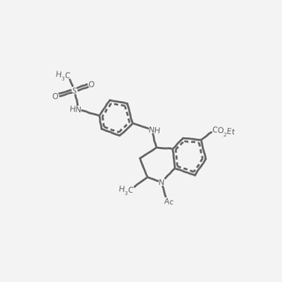 CCOC(=O)c1ccc2c(c1)C(Nc1ccc(NS(C)(=O)=O)cc1)CC(C)N2C(C)=O